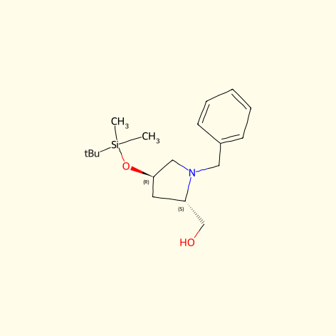 CC(C)(C)[Si](C)(C)O[C@@H]1C[C@@H](CO)N(Cc2ccccc2)C1